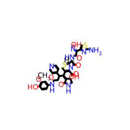 COc1cc(NC(=O)CC(C(=C2CCNC2=O)C2=C(C(=O)O)N3C(=O)[C@@H](NC(=O)C(=NO)c4csc(N)n4)[C@H]3SC2)c2ccncc2)ccc1O